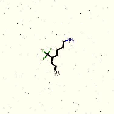 C=C/C=C(\C=C\CCN)C(F)(F)F